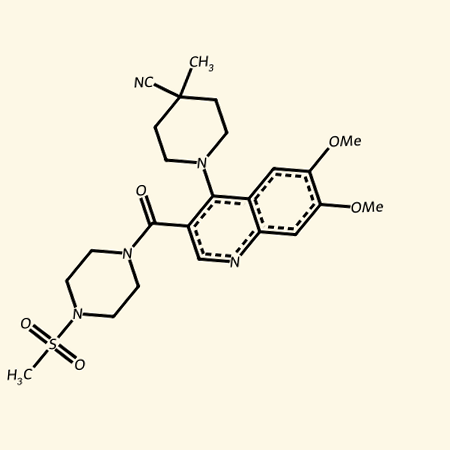 COc1cc2ncc(C(=O)N3CCN(S(C)(=O)=O)CC3)c(N3CCC(C)(C#N)CC3)c2cc1OC